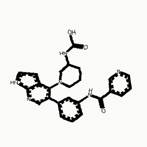 O=C(O)NC1CCCN(c2c(-c3cccc(NC(=O)c4cccnc4)c3)cnc3[nH]ccc23)C1